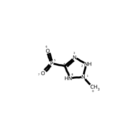 CN1NN=C(P(=O)=O)N1